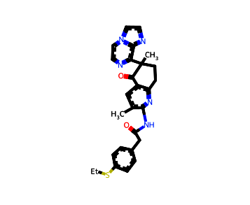 CCSc1ccc(CC(=O)Nc2nc3c(cc2C)C(=O)C(C)(c2nccn4ccnc24)CC3)cc1